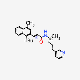 CCCCc1c(/C=C/C(=O)N[C@H](C)CCCc2cccnc2)cc(C)c2ccccc12